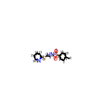 Cc1ccc(S(=O)(=O)NCCSc2ccccn2)cc1